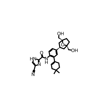 CC1(C)CC=C(c2cc([C@H]3C[C@]4(CO)CC[C@](CO)(C3)O4)ccc2NC(=O)c2nc(C#N)c[nH]2)CC1